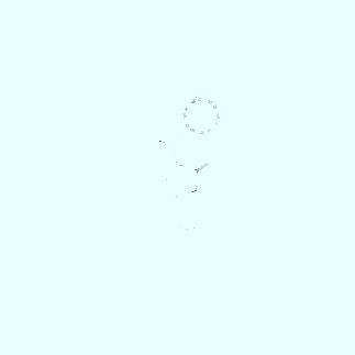 C[C@H]([C@@H]1CC(=O)N([C@@H](C)c2ccccc2)C1)N(C)C